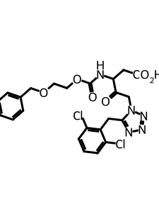 O=C(O)CC(NC(=O)OCCOCc1ccccc1)C(=O)Cn1nnnc1Cc1c(Cl)cccc1Cl